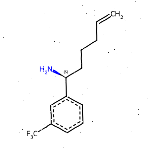 C=CCCC[C@H](N)c1cccc(C(F)(F)F)c1